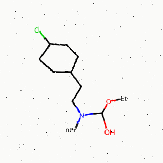 CCCN(CCC1CCC(Cl)CC1)C(O)OCC